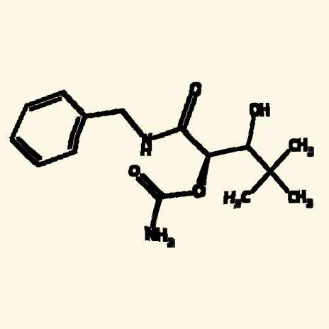 CC(C)(C)C(O)[C@@H](OC(N)=O)C(=O)NCc1ccccc1